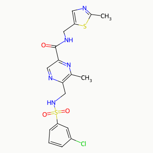 Cc1ncc(CNC(=O)c2cnc(CNS(=O)(=O)c3cccc(Cl)c3)c(C)n2)s1